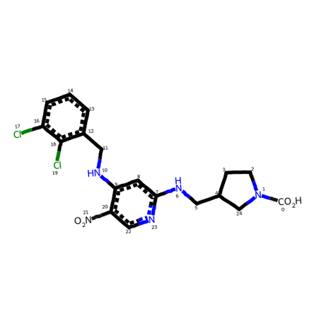 O=C(O)N1CCC(CNc2cc(NCc3cccc(Cl)c3Cl)c([N+](=O)[O-])cn2)C1